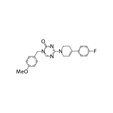 COc1ccc(Cn2cnc(N3CC=C(c4ccc(F)cc4)CC3)nc2=O)cc1